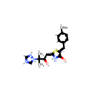 COc1ccc(/C=c2\s/c(=C/C(=O)C(C)(C)n3cncn3)[nH]c2=O)cc1